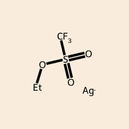 CCOS(=O)(=O)C(F)(F)F.[Ag]